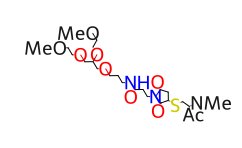 CN[C@@H](CSC1CC(=O)N(CCC(=O)NCCCOCC(COCCOC)OCCOC)C1=O)C(C)=O